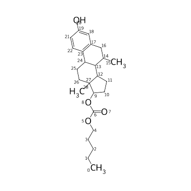 CCCCCOC(=O)OC1CCC2C3C(C)Cc4cc(O)ccc4C3CCC12C